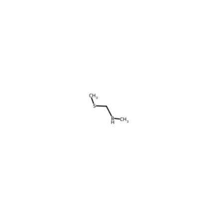 CBCSC